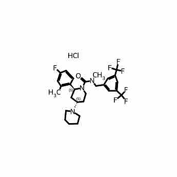 Cc1cc(F)ccc1[C@@H]1C[C@@H](N2CCCCC2)CCN1C(=O)N(C)Cc1cc(C(F)(F)F)cc(C(F)(F)F)c1.Cl